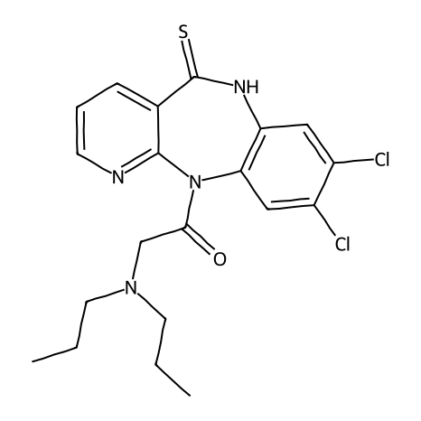 CCCN(CCC)CC(=O)N1c2cc(Cl)c(Cl)cc2NC(=S)c2cccnc21